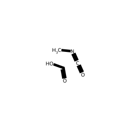 CN=C=O.O=CO